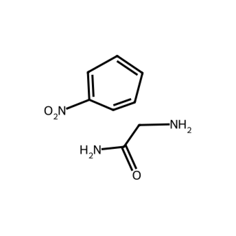 NCC(N)=O.O=[N+]([O-])c1ccccc1